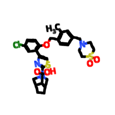 Cc1cc(CN2CCS(=O)(=O)CC2)ccc1COc1ccc(Cl)cc1-c1csc(N2CC3CCC(C2)C3C(=O)O)n1